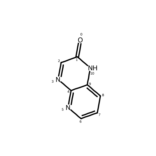 O=c1cnc2ncccc2[nH]1